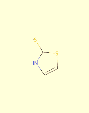 [S]C1NC=CS1